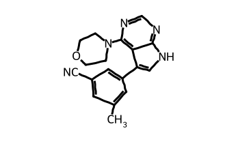 Cc1cc(C#N)cc(-c2c[nH]c3ncnc(N4CCOCC4)c23)c1